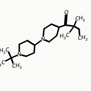 CCC(C)(C)C(=O)C1CCN(C2CCN(C(C)(C)C)CC2)CC1